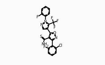 NC(=S)c1c(-c2c(F)cccc2Cl)noc1-c1cnn(-c2ccccc2F)c1C(F)(F)F